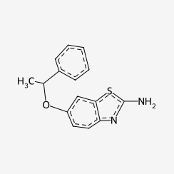 CC(Oc1ccc2nc(N)sc2c1)c1ccccc1